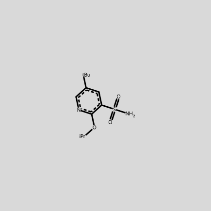 CC(C)Oc1ncc(C(C)(C)C)cc1S(N)(=O)=O